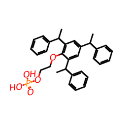 CC(c1ccccc1)c1cc(C(C)c2ccccc2)c(OCCOP(=O)(O)O)c(C(C)c2ccccc2)c1